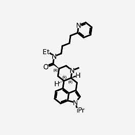 CCN(CCCCc1ccccn1)C(=O)[C@@H]1C[C@@H]2c3cccc4c3c(cn4C(C)C)C[C@H]2N(C)C1